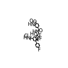 CC(C)(NCl)c1cc(-c2ccc(F)cc2)nc(C(O)(CNC(=O)c2ccc3oc(=O)[nH]c3c2)C(F)(F)F)c1